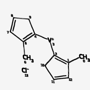 CC1=[C]([V+][C]2=C(C)C=CC2)CC=C1.[Cl-]